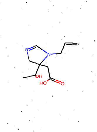 C=CCN1C=NCC1(CC(=O)O)C(C)O